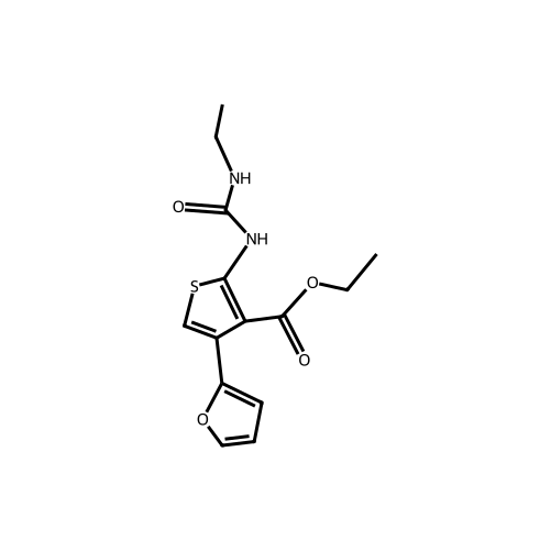 CCNC(=O)Nc1scc(-c2ccco2)c1C(=O)OCC